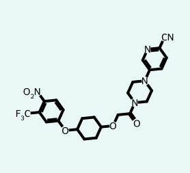 N#Cc1ccc(N2CCN(C(=O)COC3CCC(Oc4ccc([N+](=O)[O-])c(C(F)(F)F)c4)CC3)CC2)cn1